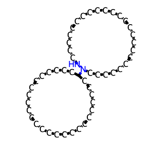 C1CCCCCCCCCCCCC(N2CCCCCCCCCCCCCCCCCCCCCCCCN2)CCCCCCCCCCCC1